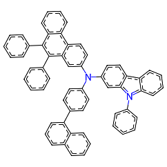 c1ccc(-c2c(-c3ccccc3)c3cc(N(c4ccc(-c5cccc6ccccc56)cc4)c4ccc5c6ccccc6n(-c6ccccc6)c5c4)ccc3c3ccccc23)cc1